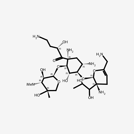 CN[C@@H]1[C@@H](O)[C@@H](O[C@@H]2[C@@H](O)[C@H](O[C@H]3OC(CN)=CC[C@]3(N)C(O)C(C)O)[C@@H](N)C[C@]2(N)C(=O)[C@@H](O)CCN)OC[C@]1(C)O